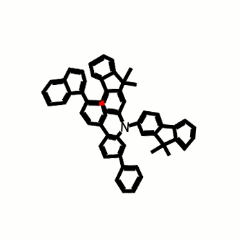 CC1(C)c2ccccc2-c2ccc(N(c3ccc4c(c3)C(C)(C)c3ccccc3-4)c3cc(-c4ccccc4)ccc3-c3ccc(-c4cccc5ccccc45)cc3)cc21